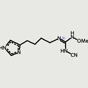 CON/C(=N/CCCCc1c[nH]cn1)NC#N